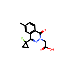 Cc1ccc2c(=O)n(CC(=O)O)nc(C3(F)CC3)c2c1